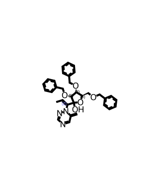 C=C1C=NC=NN1/C(=C\C)C1(O)O[C@H](COCc2ccccc2)[C@@H](OCc2ccccc2)[C@H]1OCc1ccccc1